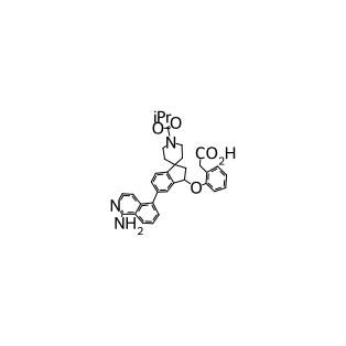 CC(C)OC(=O)N1CCC2(CC1)CC(Oc1ccccc1CC(=O)O)c1cc(-c3cccc4c(N)nccc34)ccc12